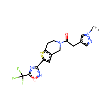 Cn1cc(CC(=O)N2CCc3sc(-c4noc(C(F)(F)F)n4)cc3C2)cn1